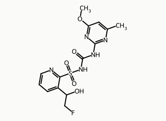 COc1cc(C)nc(NC(=O)NS(=O)(=O)c2ncccc2C(O)CF)n1